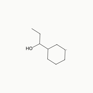 CCC(O)C1C[CH]CCC1